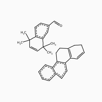 C1=CC2=C(CC1)CCc1c2ccc2ccccc12.CC1(C)C=CC(C)(C)c2cc(C=O)ccc21